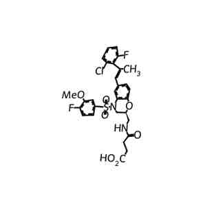 COc1cc(S(=O)(=O)N2C[C@H](CNC(=O)CCC(=O)O)Oc3ccc(/C=C(\C)c4c(F)cccc4Cl)cc32)ccc1F